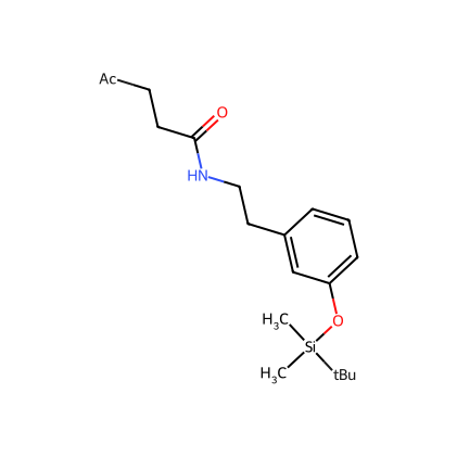 CC(=O)CCC(=O)NCCc1cccc(O[Si](C)(C)C(C)(C)C)c1